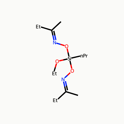 CCC[Si](OCC)(ON=C(C)CC)ON=C(C)CC